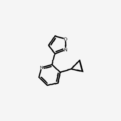 c1cnc(-c2ccon2)c(C2CC2)c1